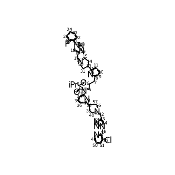 CC(C)S(=O)(=O)[N+](=CCCc1cccc(C2CCN(Cc3cn(-c4ccccc4F)nn3)CC2)n1)c1cccc(C2CCN(Cc3cn(Cc4ncccc4Cl)nn3)CC2)n1